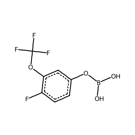 OB(O)Oc1ccc(F)c(OC(F)(F)F)c1